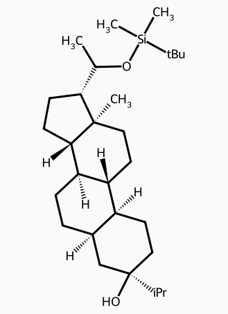 CC(O[Si](C)(C)C(C)(C)C)[C@H]1CC[C@H]2[C@@H]3CC[C@@H]4C[C@@](O)(C(C)C)CC[C@@H]4[C@H]3CC[C@]12C